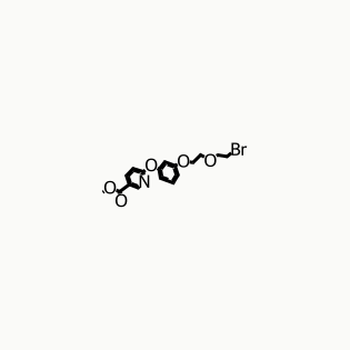 COC(=O)c1ccc(Oc2cccc(OCCOCCBr)c2)nc1